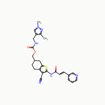 Cc1nn(C)cc1CNC(=O)OCC1CCc2c(sc(NC(=O)C=Cc3cccnc3)c2C#N)C1